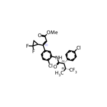 COC(=O)/C=C(/c1ccc(Cl)c(NC(=O)[C@H](c2ccc(Cl)cc2)[C@@H](C)C(F)(F)F)c1)C1CC1(F)F